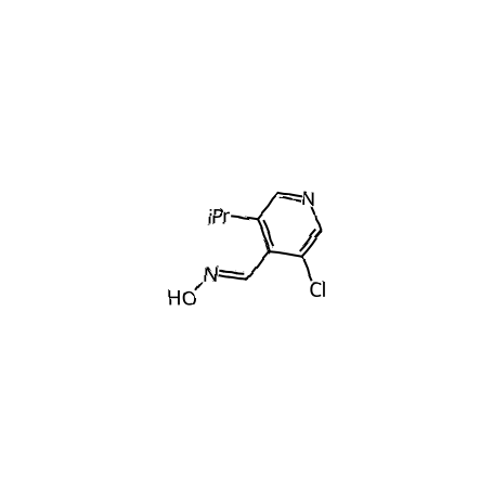 CC(C)c1cncc(Cl)c1C=NO